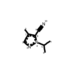 Cc1[c]nn(C(C)C)c1C#N